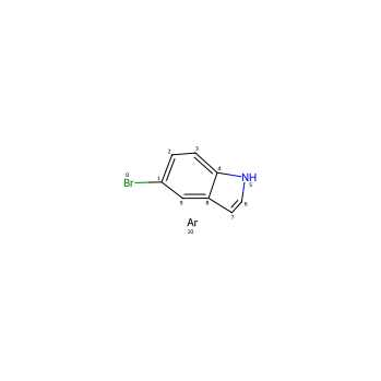 Brc1ccc2[nH]ccc2c1.[Ar]